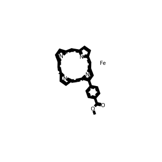 COC(=O)c1ccc(-c2cc3cc4nc(cc5ccc(cc6nc(cc2[nH]3)C=C6)[nH]5)C=C4)cc1.[Fe]